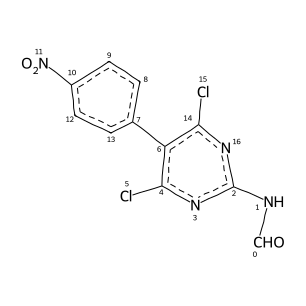 O=CNc1nc(Cl)c(-c2ccc([N+](=O)[O-])cc2)c(Cl)n1